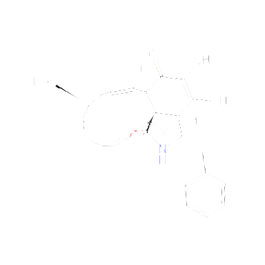 CC1=C(C)[C@H]2[C@H](Cc3ccccc3)NC(=O)[C@]23C(=O)/C=C\CCCC[C@@H](C)C/C=C\[C@H]3C1=O